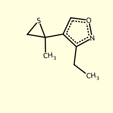 CCc1nocc1C1(C)CS1